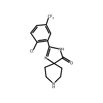 O=C1NC(c2cc(C(F)(F)F)ccc2Cl)=NC12CCNCC2